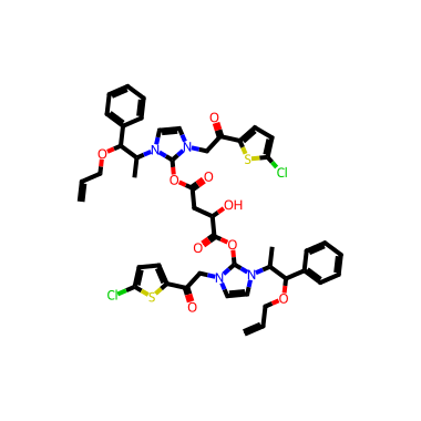 C=CCOC(c1ccccc1)C(C)N1C=CN(CC(=O)c2ccc(Cl)s2)C1OC(=O)CC(O)C(=O)OC1N(CC(=O)c2ccc(Cl)s2)C=CN1C(C)C(OCC=C)c1ccccc1